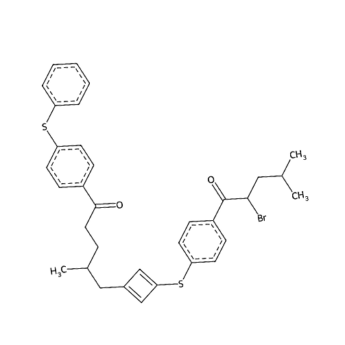 CC(C)CC(Br)C(=O)c1ccc(SC2=CC(CC(C)CCC(=O)c3ccc(Sc4ccccc4)cc3)=C2)cc1